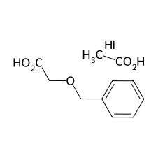 CC(=O)O.I.O=C(O)COCc1ccccc1